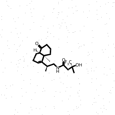 C[C@H](CNC(=O)C[C@](C)(O)C(F)(F)F)C1=CCC[C@H]2C(=O)CCC[C@@]12C